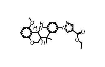 CCOC(=O)c1cnn(-c2ccc3c(c2)C(C)(C)[C@H]2COc4cccc(OC)c4[C@H]2N3)c1